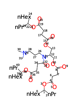 CCCCCCC(CCC)OC(=O)CCC(=O)OCC(COC(=O)CCC(=O)OC(CCC)CCCCCC)N(CCCN(C)C)C(=O)CCC(=O)OC(CCC)CCCCCC